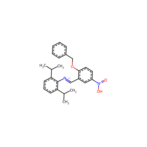 CC(C)c1cccc(C(C)C)c1/N=C/c1cc([N+](=O)O)ccc1OCc1ccccc1